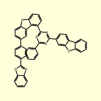 c1ccc(-c2nc(-c3ccc4c(c3)oc3ccccc34)nc(-c3cccc4sc5ccc(-c6ccc(-c7nc8ccccc8o7)cc6)cc5c34)n2)cc1